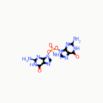 Nc1nc2c(ncn2OP(N)(=O)On2cnc3c(=O)[nH]c(N)nc32)c(=O)[nH]1